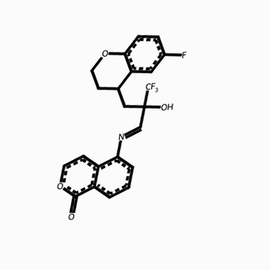 O=c1occc2c(N=CC(O)(CC3CCOc4ccc(F)cc43)C(F)(F)F)cccc12